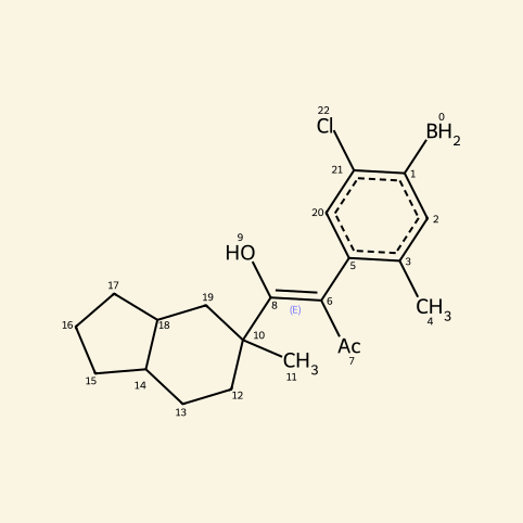 Bc1cc(C)c(/C(C(C)=O)=C(\O)C2(C)CCC3CCCC3C2)cc1Cl